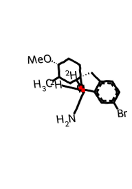 [2H]C1([2H])OC(N)=N[C@]12c1cc(Br)ccc1C[C@]21CC[C@@H](OC)C(C)C1